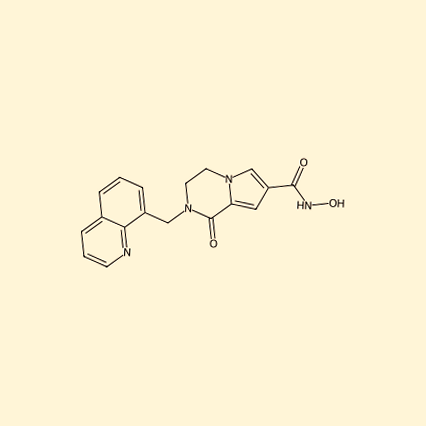 O=C(NO)c1cc2n(c1)CCN(Cc1cccc3cccnc13)C2=O